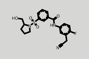 N#CCc1cc(NC(=O)c2cccc(S(=O)(=O)N3CCCC3CO)c2)ccc1F